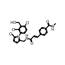 CNC(=O)c1ccc(/C=C/C(=O)NCc2ccc(Cl)n2-c2ccc(Cl)c(CO)c2Cl)cc1